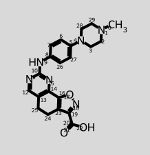 CN1CCN(c2ccc(Nc3ncc4c(n3)-c3onc(C(=O)O)c3CC4)cc2)CC1